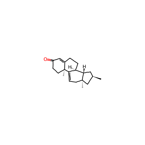 C[C@@H]1C[C@H]2[C@@H]3CCC4=CC(=O)CC[C@]4(C)C3=CC[C@]2(C)C1